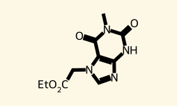 CCOC(=O)Cn1cnc2[nH]c(=O)n(C)c(=O)c21